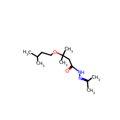 CC(C)=NNC(=O)CC(C)(C)OCCC(C)C